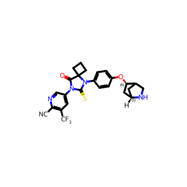 N#Cc1ncc(N2C(=O)C3(CCC3)N(c3ccc(O[C@@H]4C[C@@H]5CC4CN5)cc3)C2=S)cc1C(F)(F)F